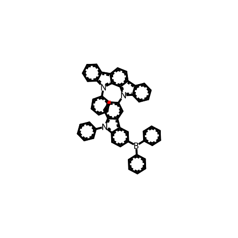 c1ccc(B(c2ccccc2)c2ccc3c(c2)c2cc(-n4c5ccccc5c5ccc6c7ccccc7n(-c7ccccc7)c6c54)ccc2n3-c2ccccc2)cc1